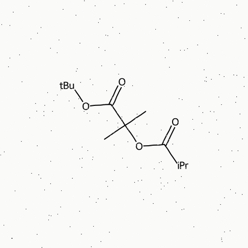 CC(C)C(=O)OC(C)(C)C(=O)OC(C)(C)C